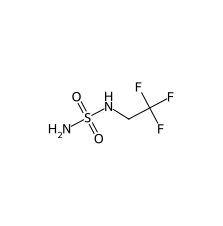 NS(=O)(=O)NCC(F)(F)F